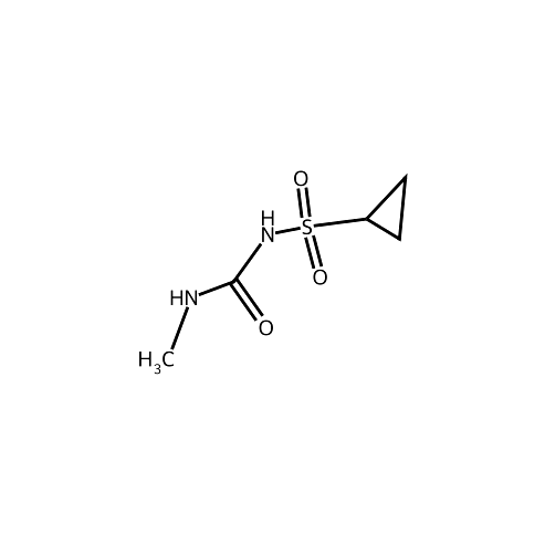 CNC(=O)NS(=O)(=O)C1CC1